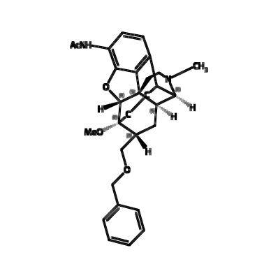 CO[C@]12CCC3c4ccc(NC(C)=O)c5c4[C@@]4(CCN(C)[C@H]3[C@H]4C[C@@H]1COCc1ccccc1)[C@H]2O5